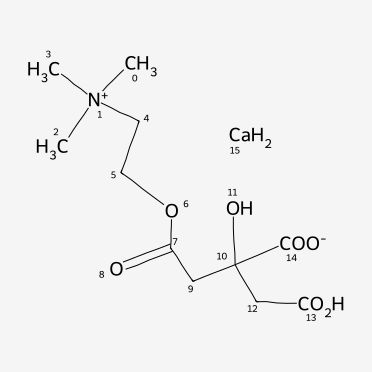 C[N+](C)(C)CCOC(=O)CC(O)(CC(=O)O)C(=O)[O-].[CaH2]